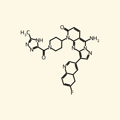 Cc1nnc(C(=O)N2CCC(n3c(=O)ccc4c(N)n5ncc(C6=CC7CC(F)=CC=C7N=C6)c5nc43)CC2)[nH]1